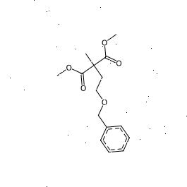 COC(=O)C(C)(CCOCc1ccccc1)C(=O)OC